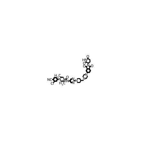 C[C@@H]1CN(c2ccc(C#N)c(Cl)c2)[C@@H](C)CN1C(=O)Nc1cnc(N2CCC(CN3CCN(c4ccc5c(c4)C(=O)N([C@H]4CCC(=O)NC4=O)C5=O)CC3)CC2)nc1